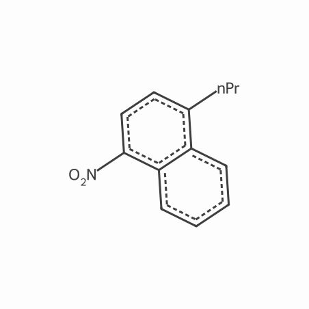 CCCc1ccc([N+](=O)[O-])c2ccccc12